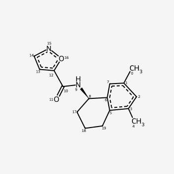 Cc1cc(C)c2c(c1)[C@H](NC(=O)c1ccno1)CCC2